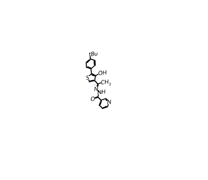 C/C(=N\NC(=O)c1cccnc1)c1csc(-c2ccc(C(C)(C)C)cc2)c1O